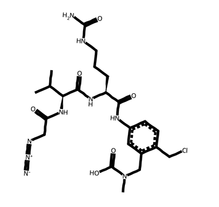 CC(C)[C@H](NC(=O)CN=[N+]=[N-])C(=O)N[C@@H](CCCNC(N)=O)C(=O)Nc1ccc(CCl)c(CN(C)C(=O)O)c1